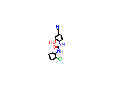 N#Cc1ccc(NC(=O)Nc2ccccc2Cl)c(O)c1